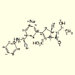 C[C@@H](O)[C@H]1C(=O)N2C(C(=O)O)=C(c3cccc(C(=O)Nc4ccccc4)c3)C[C@H]12.[Na]